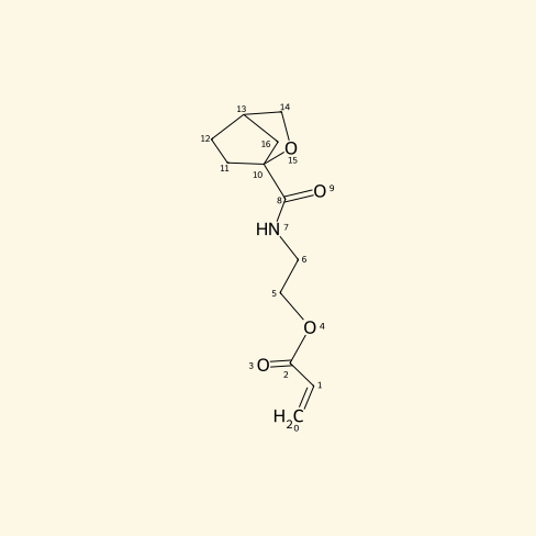 C=CC(=O)OCCNC(=O)C12CCC(CO1)C2